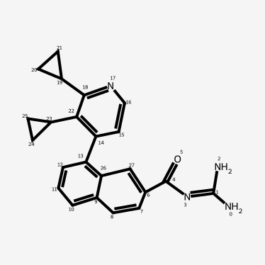 NC(N)=NC(=O)c1ccc2cccc(-c3ccnc(C4CC4)c3C3CC3)c2c1